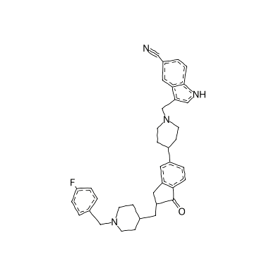 N#Cc1ccc2[nH]cc(CN3CCC(c4ccc5c(c4)CC(CC4CCN(Cc6ccc(F)cc6)CC4)C5=O)CC3)c2c1